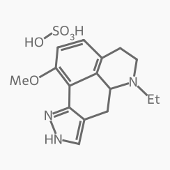 CCN1CCc2ccc(OC)c3c2C1Cc1c[nH]nc1-3.O=S(=O)(O)O